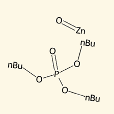 CCCCOP(=O)(OCCCC)OCCCC.[O]=[Zn]